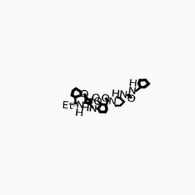 CC[C@@H](Nc1c(Nc2cccc(C(=O)N3CCCC(NC(=O)NCc4ccccc4)C3)c2O)c(=O)c1=O)c1ccccc1